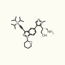 CC(C)[Si](C#Cc1nn(C2CCCCO2)c2ccc(-c3cnn(C)c3[C@H](CN)CO)cc12)(C(C)C)C(C)C